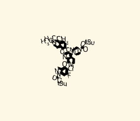 CN1CCc2c(Oc3nc4c(Oc5c(Cl)c(F)cc6c5cnn6C(=O)OC(C)(C)C)nccc4c(N4CCN(C(=O)OC(C)(C)C)CC4)c3C#N)cccc2C1(C)C